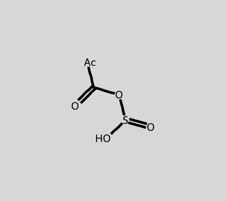 CC(=O)C(=O)OS(=O)O